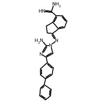 N=C(N)c1cccc2c1CCC2=Nn1cc(-c2ccc(-c3ccccc3)cc2)nc1N